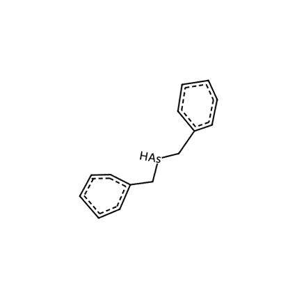 c1ccc(C[AsH]Cc2ccccc2)cc1